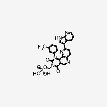 O=c1c2cnc3ccc(-c4c[nH]c5ncccc45)nc3c2n(-c2cccc(C(F)(F)F)c2)c(=O)n1COP(=O)(O)O